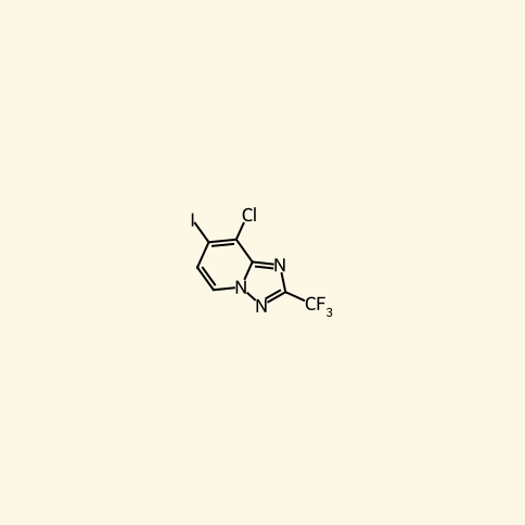 FC(F)(F)c1nc2c(Cl)c(I)ccn2n1